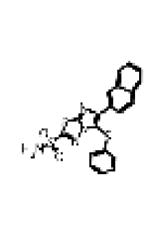 NS(=O)(=O)c1nn2c(Sc3ccccc3)c(-c3ccc4ccccc4c3)nc2s1